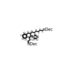 CCCCCCCCCCCCCCCCC(Cc1ccccc1)C(CCCCCCCCCCCCC)n1ccnc1